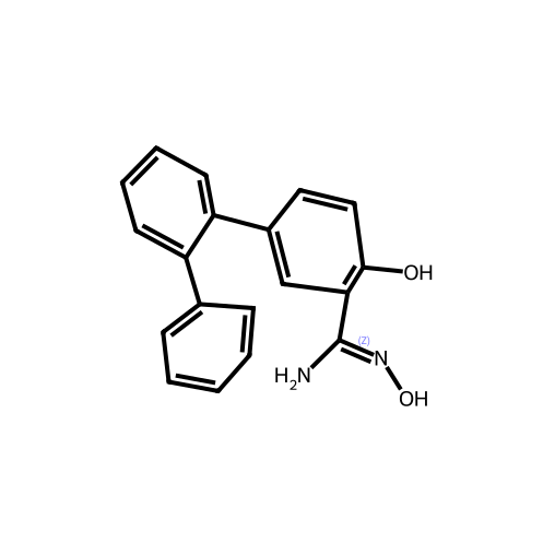 N/C(=N\O)c1cc(-c2ccccc2-c2ccccc2)ccc1O